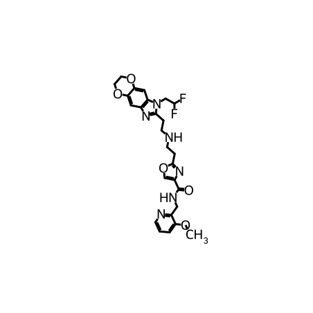 COc1cccnc1CNC(=O)c1coc(CCNCCc2nc3cc4c(cc3n2CC(F)F)OCCO4)n1